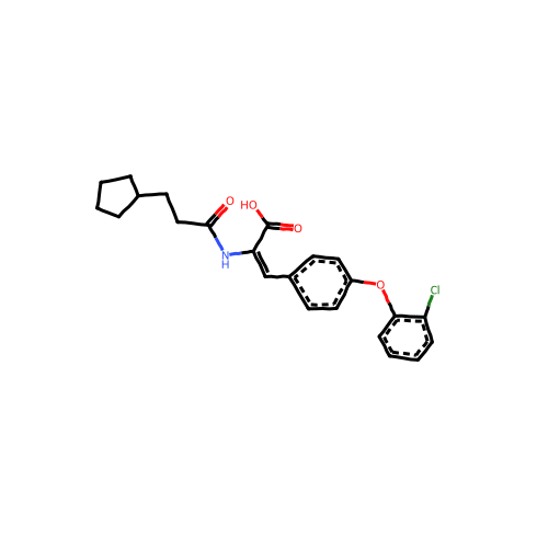 O=C(CCC1CCCC1)N/C(=C/c1ccc(Oc2ccccc2Cl)cc1)C(=O)O